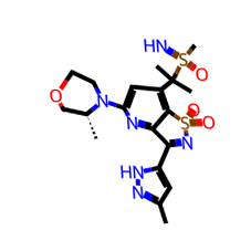 Cc1cc(C2=NS(=O)(=O)c3c(C(C)(C)S(C)(=N)=O)cc(N4CCOC[C@H]4C)nc32)[nH]n1